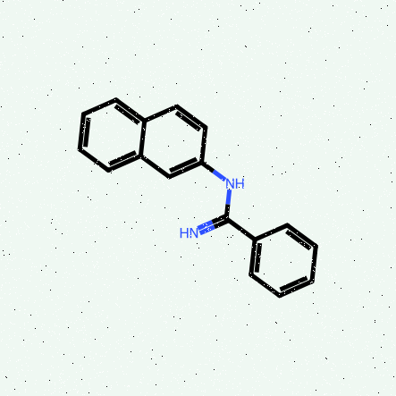 N=C(Nc1ccc2ccccc2c1)c1ccccc1